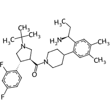 CC[C@H](N)c1cc(C)c(C)cc1C1CCN(C(=O)[C@@H]2CN(C(C)(C)C)C[C@H]2c2ccc(F)cc2F)CC1